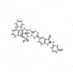 O=C1c2cc(N3CCN(CCCC4(C(=O)NCC(F)(F)F)c5ccccc5-c5ccccc54)CC3)ccc2CN1Cc1cccc(Cl)c1